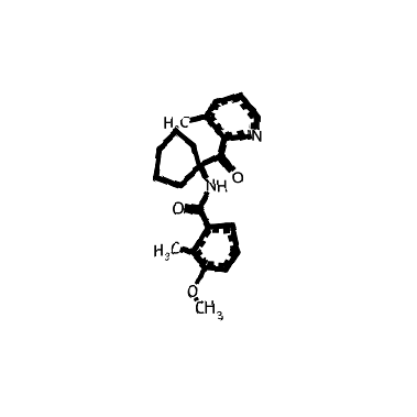 COc1cccc(C(=O)NC2(C(=O)c3ncccc3C)CCCCC2)c1C